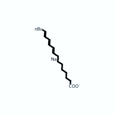 CCCCC=CC=CC=CCCCCCCCC(=O)[O-].[Na+]